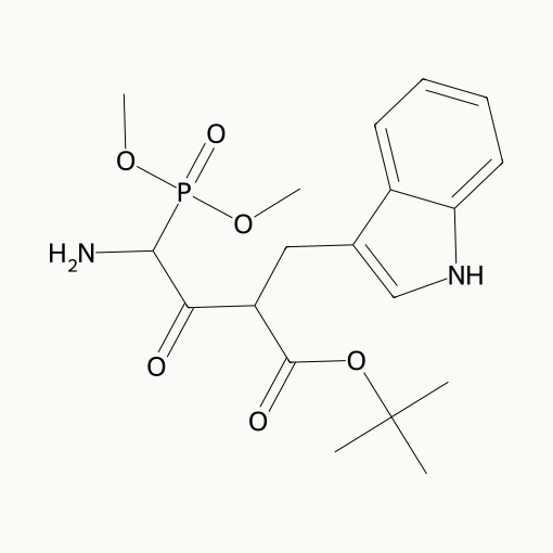 COP(=O)(OC)C(N)C(=O)C(Cc1c[nH]c2ccccc12)C(=O)OC(C)(C)C